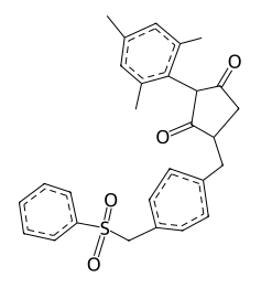 Cc1cc(C)c(C2C(=O)CC(Cc3ccc(CS(=O)(=O)c4ccccc4)cc3)C2=O)c(C)c1